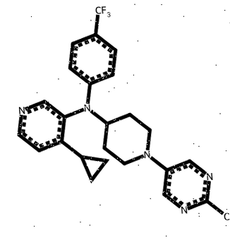 Cc1ncc(N2CCC(N(c3ccc(C(F)(F)F)cc3)c3cnccc3C3CC3)CC2)cn1